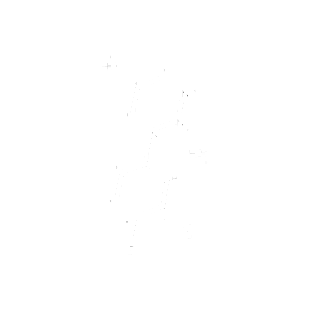 Br.Oc1cnnc(-c2ccc(F)c(Cl)c2)c1